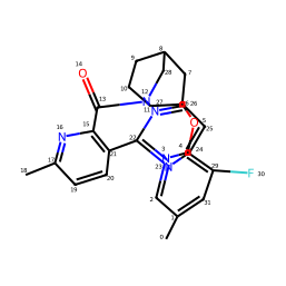 Cc1cnc(OC2CC3CCC2N(C(=O)c2nc(C)ccc2-c2ncccn2)C3)c(F)c1